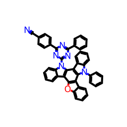 N#Cc1ccc(-c2nc(-c3ccccc3)nc(-n3c4ccccc4c4c5oc6ccccc6c5c5c(c6ccccc6n5-c5ccccc5)c43)n2)cc1